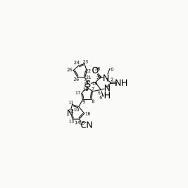 CN1C(=N)N[C@](C)(c2cc(-c3cncc(C#N)c3)cs2)C(Sc2ccccc2)C1=O